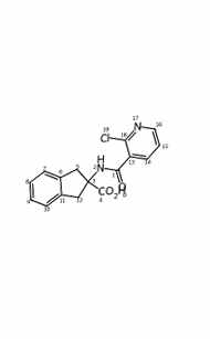 O=C(NC1(C(=O)O)Cc2ccccc2C1)c1cccnc1Cl